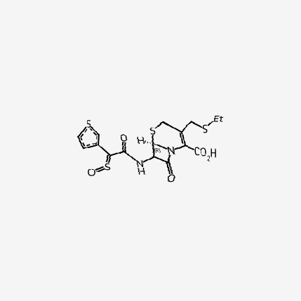 CCSCC1=C(C(=O)O)N2C(=O)C(NC(=O)C(=S=O)c3ccsc3)[C@H]2SC1